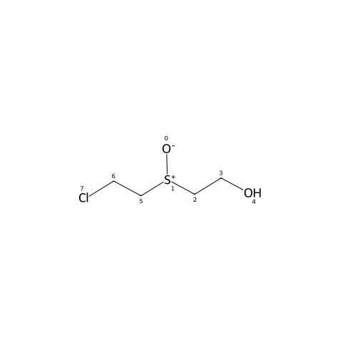 [O-][S+](CCO)CCCl